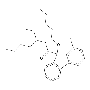 CCCCCOC1(C(=O)CC(CC)CCCC)c2ccccc2-c2cccc(C)c21